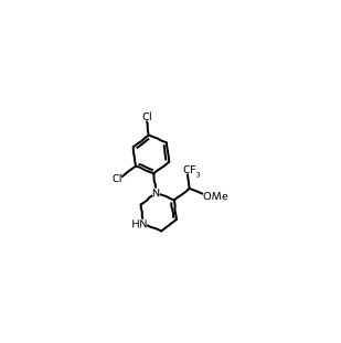 COC(C1=CCNCN1c1ccc(Cl)cc1Cl)C(F)(F)F